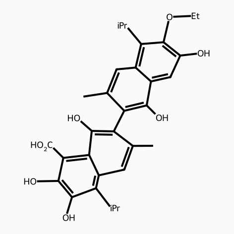 CCOc1c(O)cc2c(O)c(-c3c(C)cc4c(C(C)C)c(O)c(O)c(C(=O)O)c4c3O)c(C)cc2c1C(C)C